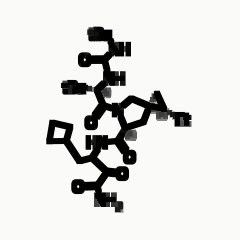 CC[C@H]1C[C@@]12C[C@@H](C(=O)NC(CC1CCC1)C(=O)C(N)=O)N(C(=O)[C@@H](NC(=O)NC(C)(C)C)C(C)(C)C)C2